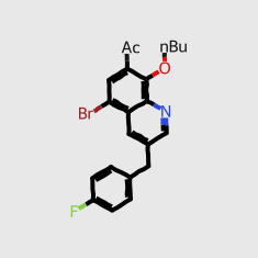 CCCCOc1c(C(C)=O)cc(Br)c2cc(Cc3ccc(F)cc3)cnc12